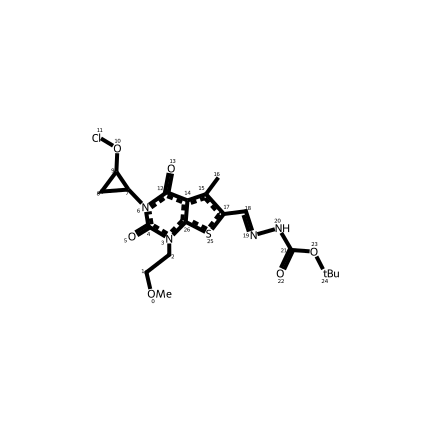 COCCn1c(=O)n(C2CC2OCl)c(=O)c2c(C)c(/C=N/NC(=O)OC(C)(C)C)sc21